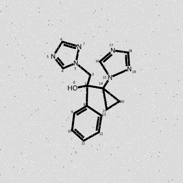 OC(Cn1cncn1)(c1ccccc1)C1(n2cncn2)CC1